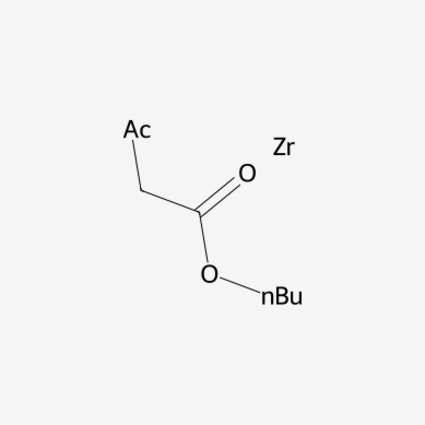 CCCCOC(=O)CC(C)=O.[Zr]